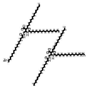 CCCCCCCCCCCCCCCCCC(=O)NCC(NC(=O)CCCCCCCCCCCCCCCCC)C(CCCCCCCCCCCCCCCC)C(=O)[O-].CCCCCCCCCCCCCCCCCC(=O)NCC(NC(=O)CCCCCCCCCCCCCCCCC)C(CCCCCCCCCCCCCCCC)C(=O)[O-].[Zn+2]